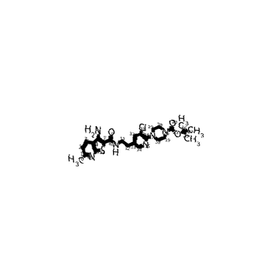 Cc1ccc2c(N)c(C(=O)NCCc3cnc(N4CCN(C(=O)OC(C)(C)C)CC4)c(Cl)c3)sc2n1